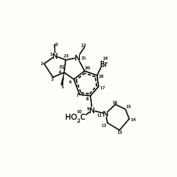 CN1CC[C@@]2(C)c3cc(N(C(=O)O)N4CCCCC4)cc(Br)c3N(C)C12